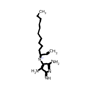 C=C/C(CCCCCCCCCC)=N\C1=C(N)C(=N)N=C1N